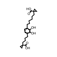 O=C(O)C1(CCCCCCc2ccc(CCCCC3(C(=O)O)CC3)c(O)c2O)CC1